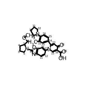 COCC1CCCN1c1nc2ccc(-n3cc(C(=O)O)c(=O)cc3-c3ccc(N4CCCC4)c(C)c3)cc2o1